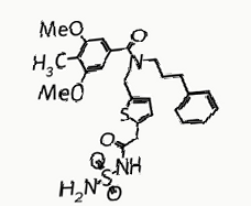 COc1cc(C(=O)N(CCCc2ccccc2)Cc2ccc(CC(=O)NS(N)(=O)=O)s2)cc(OC)c1C